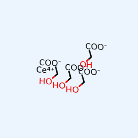 O=C([O-])CO.O=C([O-])CO.O=C([O-])CO.O=C([O-])CO.[Ce+4]